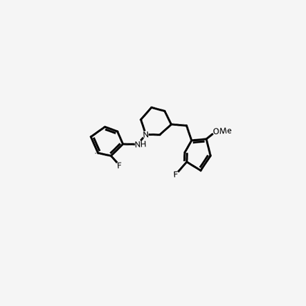 COc1ccc(F)cc1CC1CCCN(Nc2ccc[c]c2F)C1